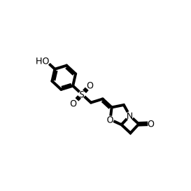 O=C1CC2O/C(=C\CS(=O)(=O)c3ccc(O)cc3)CN12